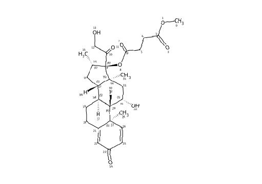 COC(=O)CCC(=O)O[C@]1(C(=O)CO)[C@@H](C)C[C@H]2[C@@H]3CCC4=CC(=O)C=C[C@]4(C)[C@@]3(F)[C@@H](O)C[C@@]21C